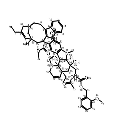 CCC1=C[C@@H]2CN(CCc3c([nH]c4ccccc34)[C@@](C(=O)OC)(c3cc4c(cc3OC)N(C)[C@H]3C(O)(CNC(=O)OCc5ccccc5OC)[C@H](OC(C)=O)[C@]5(CC)C=CCN6CC[C@]43[C@@H]65)C2)C1